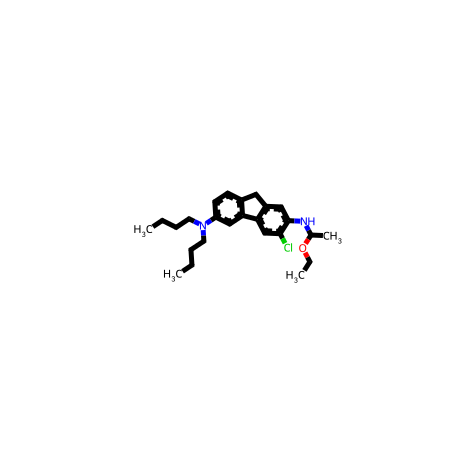 CCCCN(CCCC)c1ccc2c(c1)-c1cc(Cl)c(NC(C)OCC)cc1C2